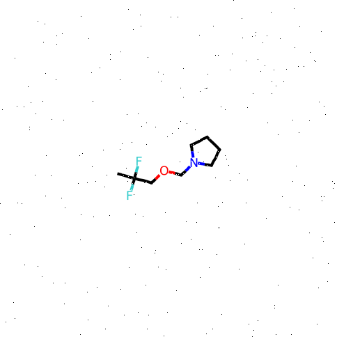 CC(F)(F)COCN1CCCC1